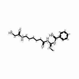 C/N=C(/NC(=O)CCCCCNC(=O)CS)SC(=N)c1ccccc1